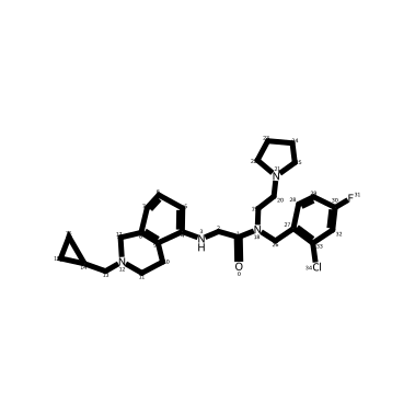 O=C(CNc1cccc2c1CCN(CC1CC1)C2)N(CCN1CCCC1)Cc1ccc(F)cc1Cl